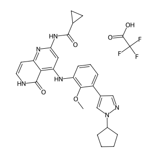 COc1c(Nc2cc(NC(=O)C3CC3)nc3cc[nH]c(=O)c23)cccc1-c1cnn(C2CCCC2)c1.O=C(O)C(F)(F)F